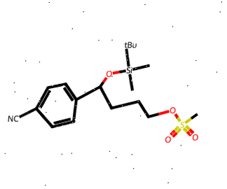 CC(C)(C)[Si](C)(C)OC(CCCOS(C)(=O)=O)c1ccc(C#N)cc1